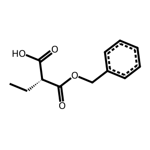 CC[C@H](C(=O)O)C(=O)OCc1ccccc1